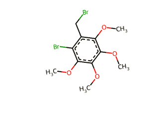 COc1c(Br)c(CBr)c(OC)c(OC)c1OC